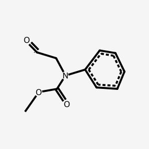 COC(=O)N(C[C]=O)c1ccccc1